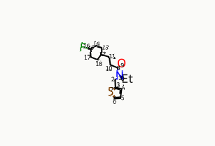 CCN(Cc1cccs1)C(=O)CCC1CCC(F)CC1